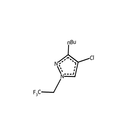 CCCCc1nn(CC(F)(F)F)cc1Cl